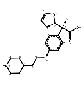 C[C@](C(=O)O)(c1ccc(OCCC2CCNCC2)cc1)[C@H]1CC=NO1